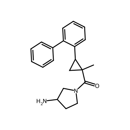 CC1(C(=O)N2CCC(N)C2)CC1c1ccccc1-c1ccccc1